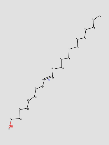 CCCCCCCCCCCC/C=C/CCCCCCCCO